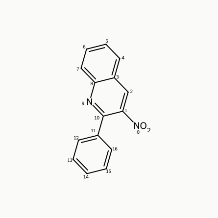 O=[N+]([O-])c1cc2ccccc2nc1-c1ccccc1